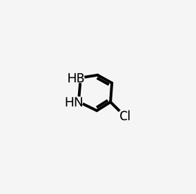 ClC1=CNBC=C1